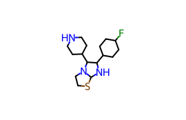 FC1CCC(C2NC3SCCN3C2C2CCNCC2)CC1